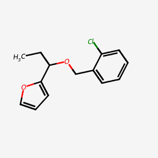 CCC(OCc1ccccc1Cl)c1ccco1